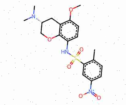 COc1ccc(NS(=O)(=O)c2cc([N+](=O)[O-])ccc2C)c2c1C[C@@H](N(C)C)CO2